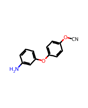 N#COc1ccc(Oc2cccc(N)c2)cc1